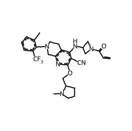 C=CC(=O)N1CC(Nc2c(C#N)c(OCC3CCCN3C)nc3c2CCN(c2c(C)cccc2C(F)(F)F)C3)C1